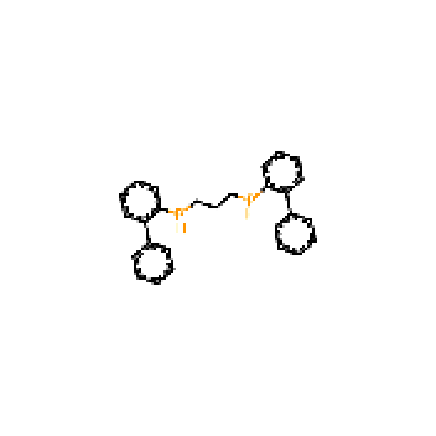 c1ccc(-c2ccccc2PCCCPc2ccccc2-c2ccccc2)cc1